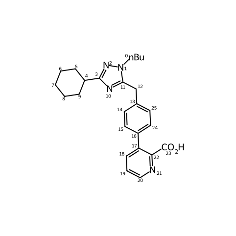 CCCCn1nc(C2CCCCC2)nc1Cc1ccc(-c2cccnc2C(=O)O)cc1